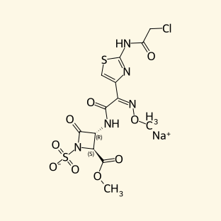 CON=C(C(=O)N[C@H]1C(=O)N(S(=O)(=O)[O-])[C@@H]1C(=O)OC)c1csc(NC(=O)CCl)n1.[Na+]